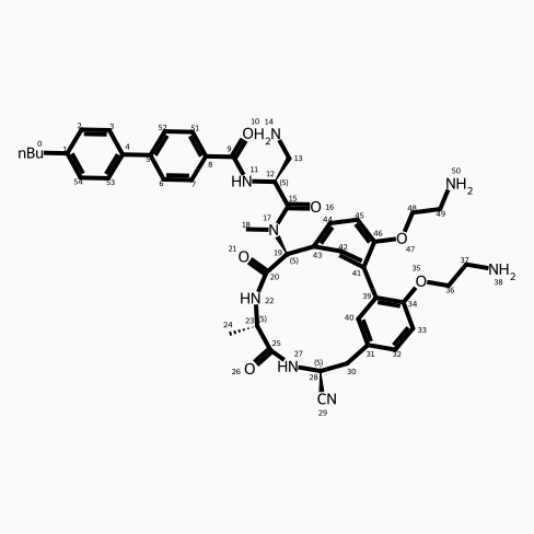 CCCCc1ccc(-c2ccc(C(=O)N[C@@H](CN)C(=O)N(C)[C@@H]3C(=O)N[C@@H](C)C(=O)N[C@H](C#N)Cc4ccc(OCCN)c(c4)-c4cc3ccc4OCCN)cc2)cc1